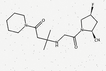 CC(C)(CC(=O)N1CCCCC1)NCC(=O)N1C[C@@H](F)C[C@H]1C#N